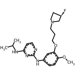 COc1ccc(Nc2nccc(NC(C)C)n2)cc1OCCCN1CC[C@@H](F)C1